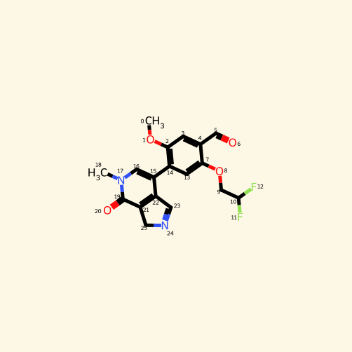 COc1cc(C=O)c(OCC(F)F)cc1-c1cn(C)c(=O)c2c1C=NC2